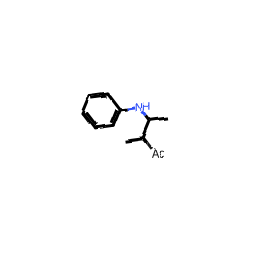 CC(=O)C(C)C(C)Nc1ccccc1